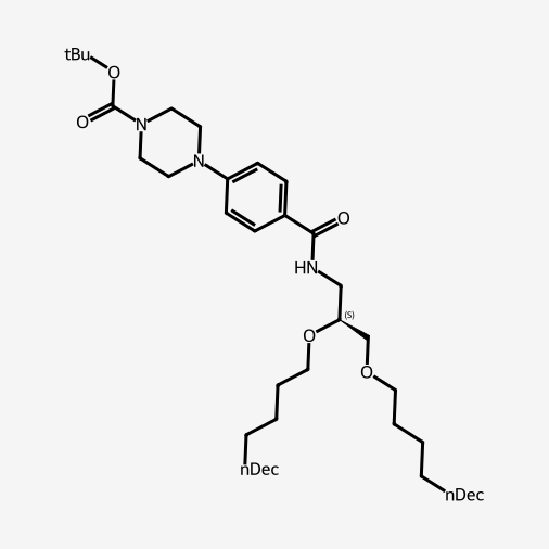 CCCCCCCCCCCCCCOC[C@H](CNC(=O)c1ccc(N2CCN(C(=O)OC(C)(C)C)CC2)cc1)OCCCCCCCCCCCCCC